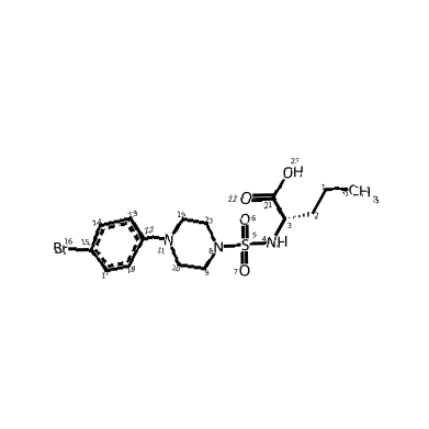 CCC[C@H](NS(=O)(=O)N1CCN(c2ccc(Br)cc2)CC1)C(=O)O